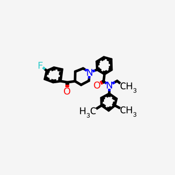 CCN(C(=O)c1ccccc1N1CCC(C(=O)c2ccc(F)cc2)CC1)c1cc(C)cc(C)c1